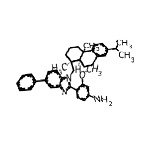 COc1cc(N)ccc1-c1nc2cc(-c3ccccc3)ccc2n1C[C@@]1(C)CCC[C@]2(C)c3ccc(C(C)C)cc3CC[C@@H]12